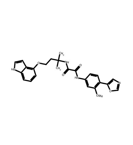 COc1cc(NC(=O)C(=O)NC(C)(C)CCOc2cccc3[nH]ccc23)ccc1-c1cnco1